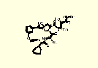 C#CC[C@H](C(=O)N[C@H](C(=O)N1C[C@@]2(CC(c3cccc(Cl)c3)=NO2)C[C@H]1C(=O)N[C@@H](CCC)C(O)C(=O)NC(C)CC)C(C)(C)C)C1CCCCC1